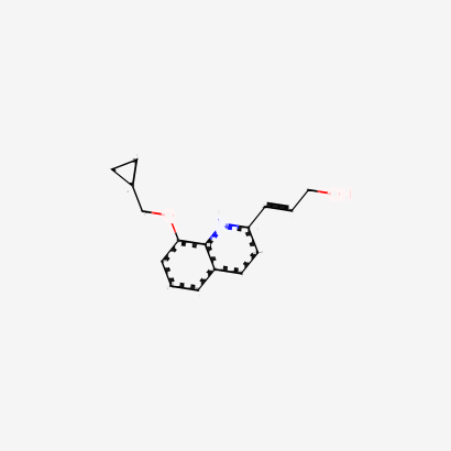 OCC=Cc1ccc2cccc(OCC3CC3)c2n1